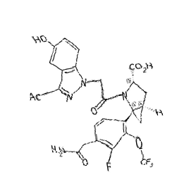 CC(=O)c1nn(CC(=O)N2[C@H](C(=O)O)C[C@H]3C[C@@]32c2ccc(C(N)=O)c(F)c2OC(F)(F)F)c2ccc(O)cc12